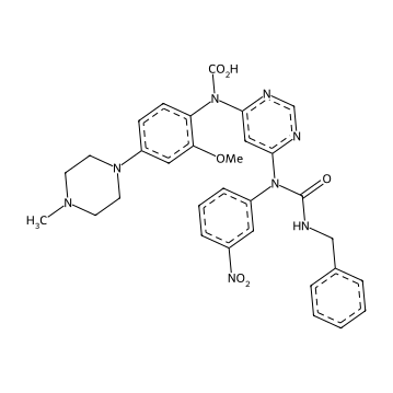 COc1cc(N2CCN(C)CC2)ccc1N(C(=O)O)c1cc(N(C(=O)NCc2ccccc2)c2cccc([N+](=O)[O-])c2)ncn1